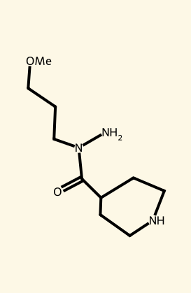 COCCCN(N)C(=O)C1CCNCC1